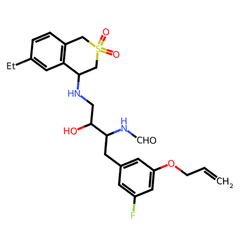 C=CCOc1cc(F)cc(CC(NC=O)C(O)CNC2CS(=O)(=O)Cc3ccc(CC)cc32)c1